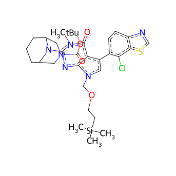 Cn1c(N2C3CCCC2CN(C(=O)OC(C)(C)C)C3)nc2c(c(-c3ccc4ncsc4c3Cl)cn2COCC[Si](C)(C)C)c1=O